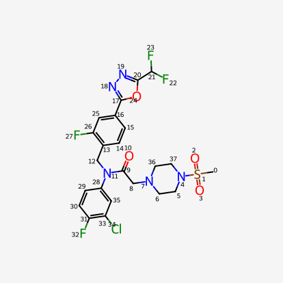 CS(=O)(=O)N1CCN(CC(=O)N(Cc2ccc(-c3nnc(C(F)F)o3)cc2F)c2ccc(F)c(Cl)c2)CC1